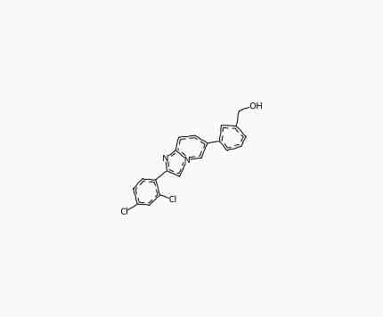 OCc1cccc(-c2ccc3nc(-c4ccc(Cl)cc4Cl)cn3c2)c1